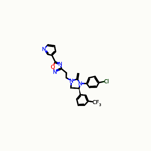 C=C1N(CCc2noc(-c3cccnc3)n2)C[C@H](c2cccc(C(F)(F)F)c2)N1c1ccc(Cl)cc1